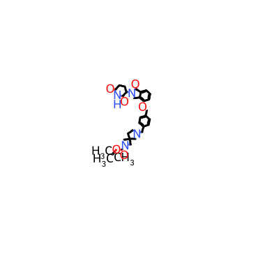 CC(C)(C)OC(=O)N1CC2(CCN(Cc3ccc(COc4cccc5c4CN(C4CCC(=O)NC4=O)C5=O)cc3)C2)C1